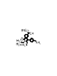 CC(C)Cn1c(CN)c(-c2ccc(CN)cc2)c2cc(C(=O)O)ccc2c1=O.Cl